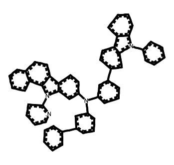 c1ccc(-c2cccc(N(c3cccc(-c4ccc5c6ccccc6n(-c6ccccc6)c5c4)c3)c3ccc4c5ccc6ccccc6c5n(-c5ccccn5)c4c3)c2)cc1